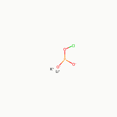 [K+].[Li+].[O-]P([O-])OCl